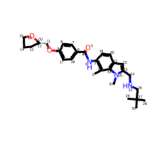 Cc1c(NC(=O)c2ccc(OC[C@@H]3CCCO3)cc2)ccc2cc(CNCC(C)(C)C)n(C)c12